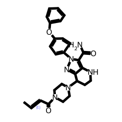 C/C=C/C(=O)N1CCN(C2CCNc3c2nn(-c2ccc(Oc4ccccc4)cc2)c3C(N)=O)CC1